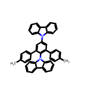 Cc1ccc(-c2cc(-n3c4ccccc4c4ccccc43)cc(-c3ccc(C)cc3)c2-n2c3ccccc3c3ccccc32)cc1